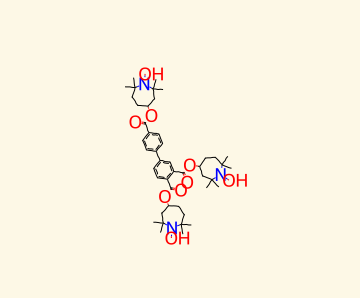 CC1(C)CCC(OC(=O)c2ccc(-c3ccc(C(=O)OC4CCC(C)(C)N(O)C(C)(C)C4)c(C(=O)OC4CCC(C)(C)N(O)C(C)(C)C4)c3)cc2)CC(C)(C)N1O